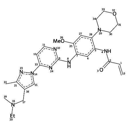 C=CC(=O)Nc1cc(Nc2nccc(-n3cc(CN(C)CC)c(C)n3)n2)c(OC)cc1N1CCOCC1